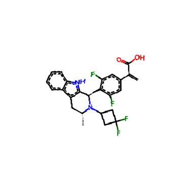 C=C(C(=O)O)c1cc(F)c([C@@H]2c3[nH]c4ccccc4c3C[C@@H](C)N2C2CC(F)(F)C2)c(F)c1